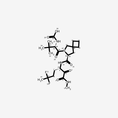 CNC(=O)C(=O)[C@H](CCC(C)(F)F)NC(=O)[C@@H]1CC2(CCC2)CN1C(=O)[C@@H](NC(=O)O)C(C)(C)C